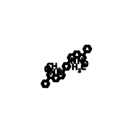 COc1cc(-c2ccccc2)c2ccc3ccc(-c4ccc(-c5ccc6ccc7c(-c8ccccc8)cc(OC)nc7c6n5)cc4)nc3c2n1